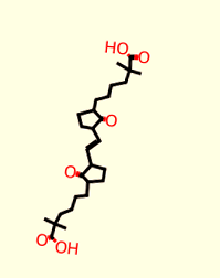 CC(C)(CCCCC1CCC(/C=C/C2CCC(CCCCC(C)(C)C(=O)O)C2=O)C1=O)C(=O)O